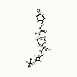 O=C(COc1ccc(Cl)cc1)N[C@H]1CC[C@H]([C@H](O)COC2CC(OC(F)(F)F)C2)OC1